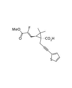 COC(=O)/C(F)=C/[C@H]1C(C)(C)[C@]1(CC#Cc1cccs1)C(=O)O